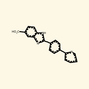 O=C(O)c1ccc2[nH]c(-c3ccc(-c4ccccn4)cc3)nc2c1